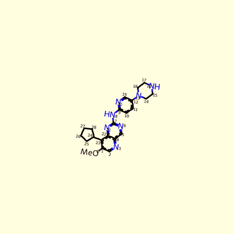 COc1cnc2cnc(Nc3ccc(N4CCNCC4)cn3)nc2c1C1CCCC1